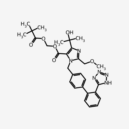 COCc1nc(C(C)(C)O)c(C(=O)OCOC(=O)C(C)(C)C)n1Cc1ccc(-c2ccccc2-c2nnn[nH]2)cc1